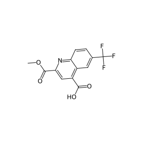 COC(=O)c1cc(C(=O)O)c2cc(C(F)(F)F)ccc2n1